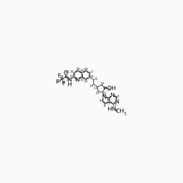 CNc1ncnc2c1ccn2C1CC(CCc2ccc3ccc(NC(=O)C(F)(F)F)nc3c2)C[C@H]1O